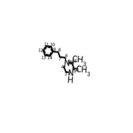 C[C@H]1NCCN(CCCc2ccccc2)[C@H]1C